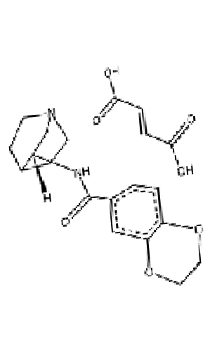 O=C(N[C@H]1CN2CCC1CC2)c1ccc2c(c1)OCCO2.O=C(O)/C=C/C(=O)O